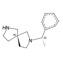 C[C@@H](c1ccccc1)N1CC[C@]2(CCNC2)C1